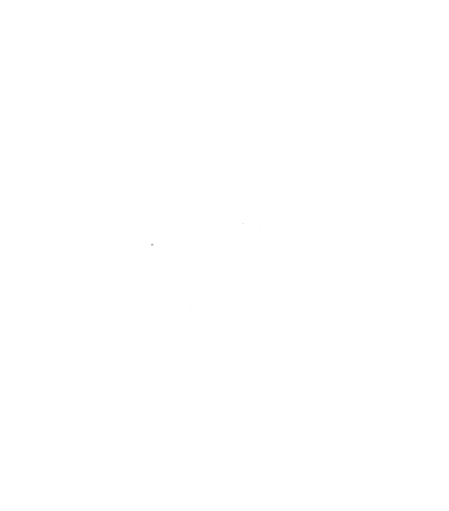 C=C(C)C(=O)O.CC(=CCCC(C)O)C(=O)OCCC(C)O